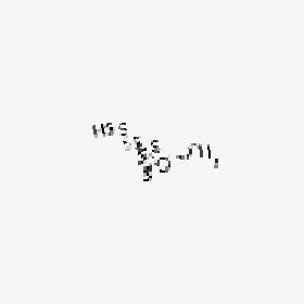 C=CCOS(=S)(=S)SSSSS